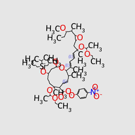 CCOC(C)OC(C)(/C=C/C=C(\C)C1OC(=O)CC(O[Si](CC)(CC)C(C)C)CCC(C)(OC(C)OCC)C(C(=O)OOc2ccc([N+](=O)[O-])cc2)/C=C/C1C)CC1OC1C(C)C(CC)OC